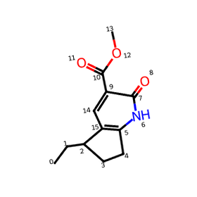 CCC1CCc2[nH]c(=O)c(C(=O)OC)cc21